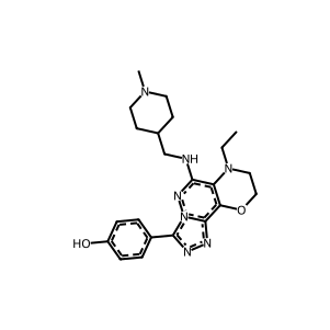 CCN1CCOc2c1c(NCC1CCN(C)CC1)nn1c(-c3ccc(O)cc3)nnc21